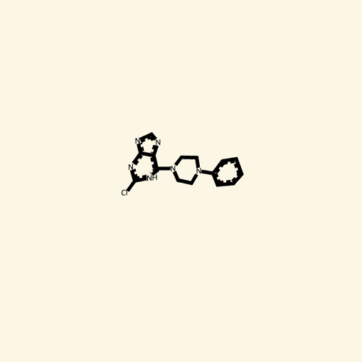 Clc1nc2ncnc-2c(N2CCN(c3ccccc3)CC2)[nH]1